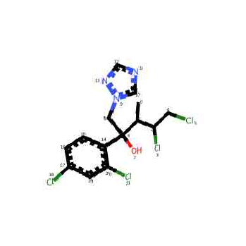 CC(C(Cl)CCl)C(O)(Cn1cncn1)c1ccc(Cl)cc1Cl